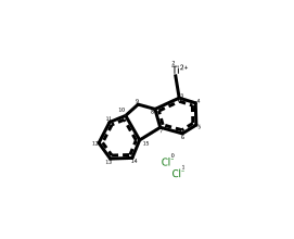 [Cl-].[Cl-].[Ti+2][c]1cccc2c1Cc1ccccc1-2